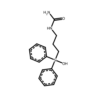 NC(=O)NCCC[Si](O)(c1ccccc1)c1ccccc1